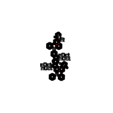 CCCCCCCCC1(CCCCCCCC)c2cc(N(c3ccccc3)c3ccccc3-c3ccc(CC)c(C4(C)CCCO4)c3)ccc2-c2cc3c(cc21)-c1ccc(N(c2ccccc2)c2ccccc2-c2ccc4c(c2)C2(C)CCC4(C)O2)cc1C3(CCCCCCCC)CCCCCCCC